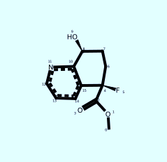 COC(=O)[C@@]1(F)CC[C@H](O)c2ncccc21